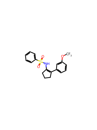 O=S(=O)(NC1=C(c2cccc(OC(F)(F)F)c2)CCC1)c1ccccc1